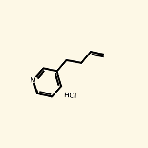 C=CCCc1cccnc1.Cl